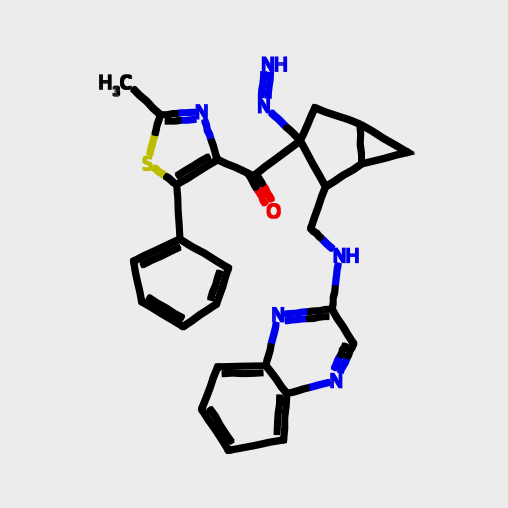 Cc1nc(C(=O)C2(N=N)CC3CC3C2CNc2cnc3ccccc3n2)c(-c2ccccc2)s1